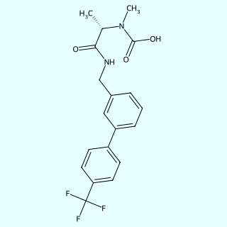 C[C@@H](C(=O)NCc1cccc(-c2ccc(C(F)(F)F)cc2)c1)N(C)C(=O)O